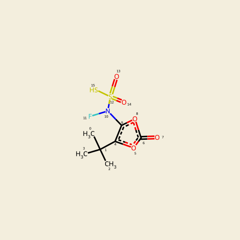 CC(C)(C)c1oc(=O)oc1N(F)S(=O)(=O)S